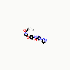 O=C(Nc1ccc(O[C@@H]2CCN(C(=O)CCC(F)(F)F)C2)cc1)[C@H]1CCN(c2cccnn2)C1